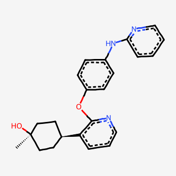 C[C@]1(O)CC[C@@H](c2cccnc2Oc2ccc(Nc3ccccn3)cc2)CC1